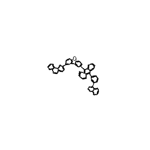 c1cc(-c2cccc3ccccc23)cc(-c2c3ccccc3c(-c3ccc4oc5ccc(-c6ccc7ccc8ccccc8c7c6)cc5c4c3)c3ccccc23)c1